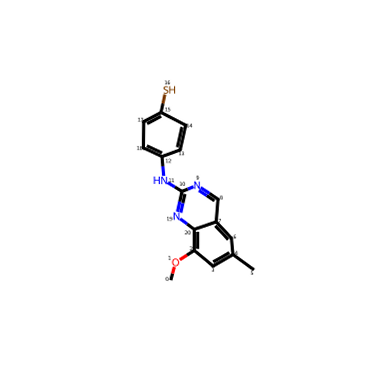 COc1cc(C)cc2cnc(Nc3ccc(S)cc3)nc12